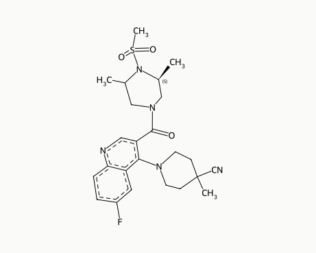 CC1CN(C(=O)c2cnc3ccc(F)cc3c2N2CCC(C)(C#N)CC2)C[C@H](C)N1S(C)(=O)=O